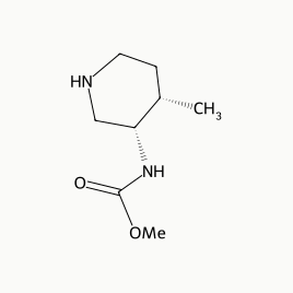 COC(=O)N[C@@H]1CNCC[C@@H]1C